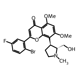 COc1cc(OC)c2c(=O)cc(-c3cc(F)ccc3Br)oc2c1[C@@H]1CCN(C)[C@H]1CO